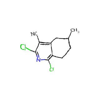 CC1CCc2c(Cl)nc(Cl)c(C#N)c2C1